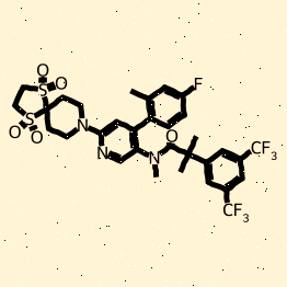 Cc1cc(F)ccc1-c1cc(N2CCC3(CC2)S(=O)(=O)CCS3(=O)=O)ncc1N(C)C(=O)C(C)(C)c1cc(C(F)(F)F)cc(C(F)(F)F)c1